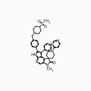 CN1C(=O)C2(CCN(c3ccncn3)CC2)c2c1cnc1[nH]c(-c3ccc(CN4CCC(S(C)(=O)=O)CC4)cc3)c(-c3ccccc3)c21